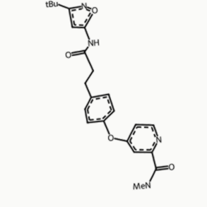 CNC(=O)c1cc(Oc2ccc(CCC(=O)Nc3cc(C(C)(C)C)no3)cc2)ccn1